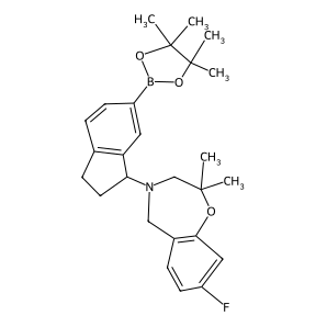 CC1(C)CN(C2CCc3ccc(B4OC(C)(C)C(C)(C)O4)cc32)Cc2ccc(F)cc2O1